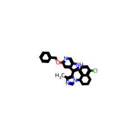 Cc1ncn(C2CCCc3c(Cl)cccc32)c1-c1c[nH]c2cnc(OCc3ccccc3)cc12